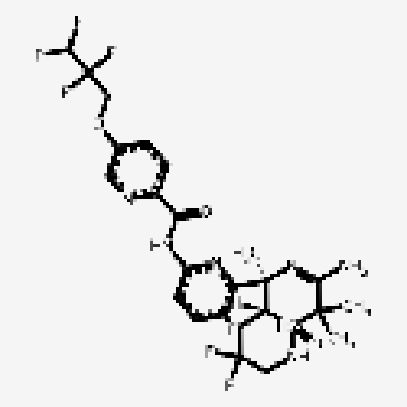 CC1(C)C(N)=N[C@](C)(c2nc(NC(=O)c3ccc(OCC(F)(F)C(F)F)cn3)ccc2F)[C@H]2CC(F)(F)CN[SH]21=O